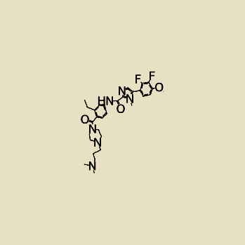 CCc1cc(NC(=O)c2ncc(-c3ccc(OC)c(F)c3F)n2C)ccc1C(=O)N1CCN(CCCN(C)C)CC1